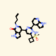 C=CCCn1cc(-c2cc(C3([S@](C)(=N)=O)CCC3)nc(-c3ccnc4[nH]ccc34)n2)c2cc[nH]c2c1=O